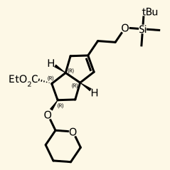 CCOC(=O)[C@@H]1[C@@H]2CC(CCO[Si](C)(C)C(C)(C)C)=C[C@@H]2C[C@H]1OC1CCCCO1